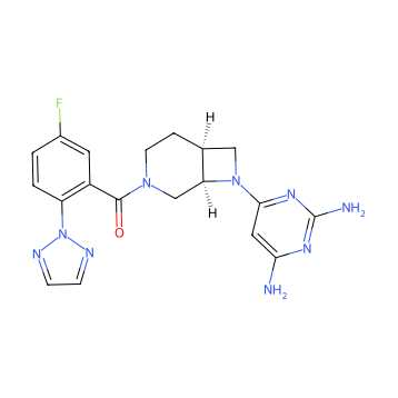 Nc1cc(N2C[C@@H]3CCN(C(=O)c4cc(F)ccc4-n4nccn4)C[C@@H]32)nc(N)n1